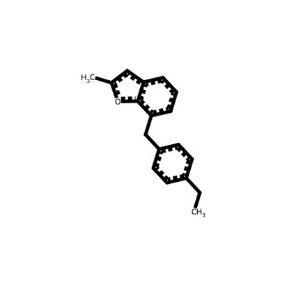 CCc1ccc(Cc2cccc3[c]c(C)oc23)cc1